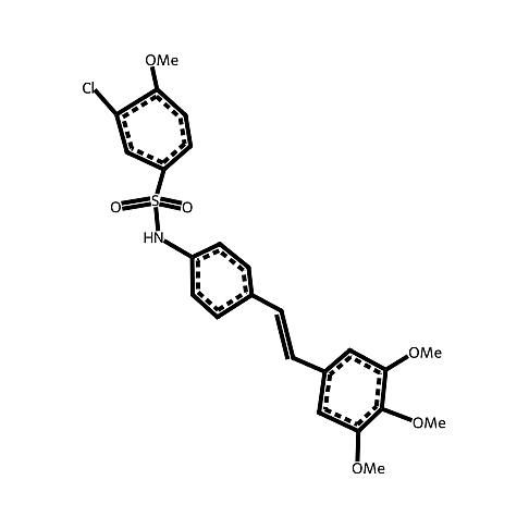 COc1ccc(S(=O)(=O)Nc2ccc(C=Cc3cc(OC)c(OC)c(OC)c3)cc2)cc1Cl